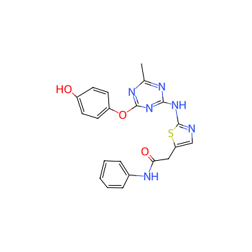 Cc1nc(Nc2ncc(CC(=O)Nc3ccccc3)s2)nc(Oc2ccc(O)cc2)n1